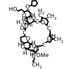 C=CCO[C@@]1(OC)C[C@]23CCC4CC(=C)[C@H](CCC5C[C@@H](C)C(=C)C(CC6O[C@H]7C[C@@H](OC8CCCC8)C(CCO)O[C@H]7[C@H](C)[C@H]6OC(=O)CC6CC[C@@H]7O[C@H](C[C@@H](O2)C7O6)[C@H]1O3)O5)O4